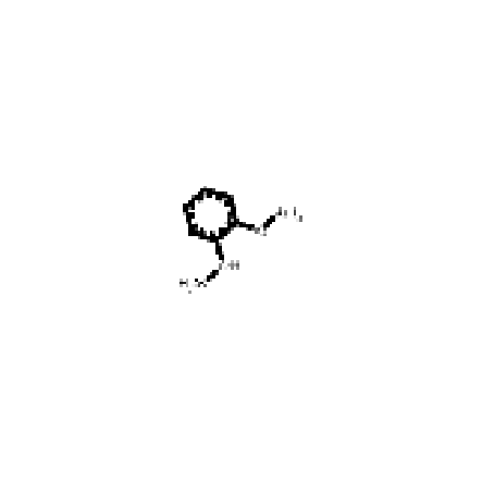 [AsH2][AsH]c1ccccc1[AsH][AsH2]